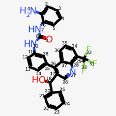 Nc1ccccc1NC(=O)Nc1cccc(-c2c(C(O)c3ccccc3)cnc3c(C(F)(F)F)cccc23)c1